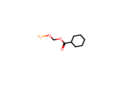 O=C(OCOP)C1CCCCC1